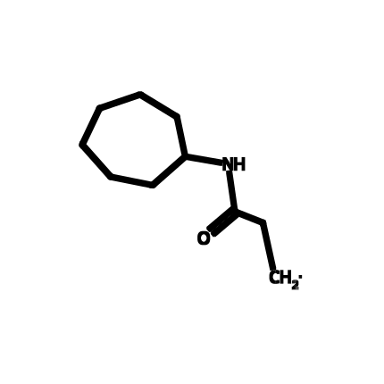 [CH2]CC(=O)NC1CCCCCC1